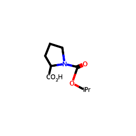 CC(C)OC(=O)N1CCCC1C(=O)O